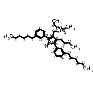 CCCCCCc1cccc(C2=C(CC)C(CCCC)=C(c3cccc(CCCCCC)c3)[N+]2=[N-])c1.C[CH2][Pd][CH2]C